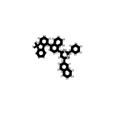 CC1(C)c2ccccc2-c2c(-c3ccc(-c4cc(-c5ccc6ccccc6c5)nc(-c5ccccc5)n4)c4ccccc34)cccc21